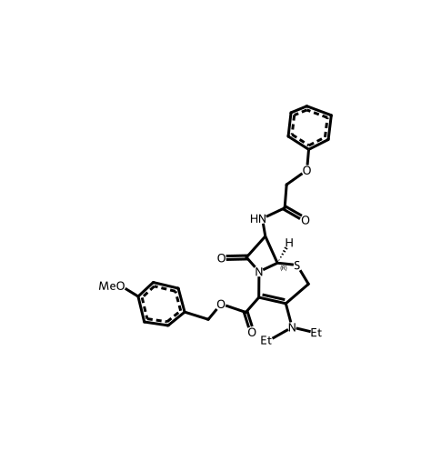 CCN(CC)C1=C(C(=O)OCc2ccc(OC)cc2)N2C(=O)C(NC(=O)COc3ccccc3)[C@H]2SC1